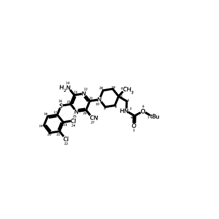 CC1(CNC(=O)OC(C)(C)C)CCN(c2nc(N)c(Sc3cccc(Cl)c3Cl)nc2C#N)CC1